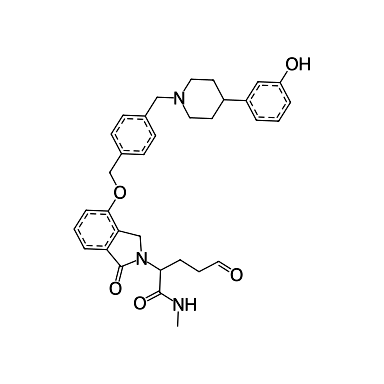 CNC(=O)C(CCC=O)N1Cc2c(OCc3ccc(CN4CCC(c5cccc(O)c5)CC4)cc3)cccc2C1=O